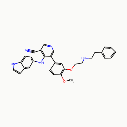 COc1ccc(-c2cncc(C#N)c2Nc2ccc3[nH]ccc3c2)cc1OCCNCCc1ccccc1